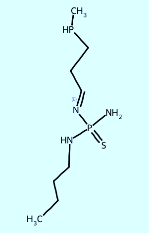 CCCCNP(N)(=S)/N=C/CCPC